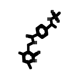 Cc1cc(C)c(CNC(=O)c2ccc(C(C)NS(C)(=O)=O)cc2)c(=O)[nH]1